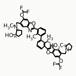 Cc1c(-c2nc3cc(CN(C)[C@@H]4CCC[C@H]4O)c(OC(F)F)cc3o2)cccc1-c1cccc(-c2nc3cc(CN4CCC[C@H]4C(=O)O)c(OC(F)F)cc3o2)c1C